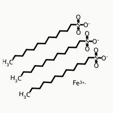 CCCCCCCCCCCCS(=O)(=O)[O-].CCCCCCCCCCCCS(=O)(=O)[O-].CCCCCCCCCCCCS(=O)(=O)[O-].[Fe+3]